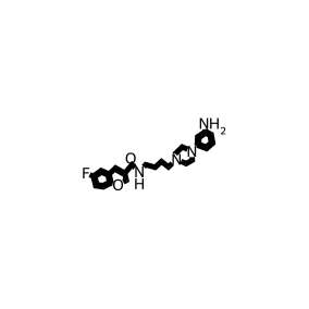 Nc1cccc(N2CCN(CCCCNC(=O)C3=Cc4cc(F)ccc4OC3)CC2)c1